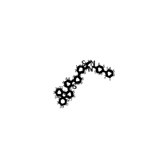 c1ccc(-c2ccc(-c3ncc4sc5ccc(-c6ccc7sc8c(-c9cccc%10c9-c9ccccc9C%109CCCCC9)cccc8c7c6)cc5c4n3)cc2)cc1